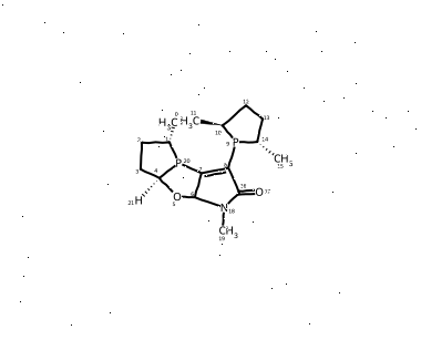 C[C@H]1CC[C@@H]2OC3C(=C(P4[C@@H](C)CC[C@@H]4C)C(=O)N3C)P21